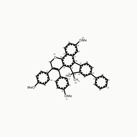 COc1ccc(C2=C(c3ccc(OC)cc3)c3c4c(c5cc(OC)ccc5c3OC2)-c2ccc(-c3ccccc3)cc2C4(C)O)cc1